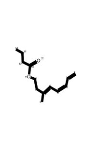 C=C/C=C\C=C(/C)CCOC(=O)CCC